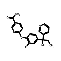 CCC(N)(c1cccnc1)c1ccc(Oc2ccc(C(N)=O)cn2)c(F)c1